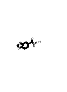 O=C(NO)c1ccc2ocnc2c1